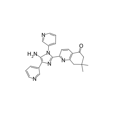 CC1(C)CC(=O)c2ccc(-c3nc(-c4cccnc4)c(N)n3-c3cccnc3)nc2C1